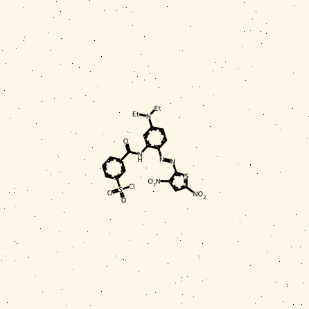 CCN(CC)c1ccc(/N=N/c2sc([N+](=O)[O-])cc2[N+](=O)[O-])c(NC(=O)c2cccc(S(=O)(=O)Cl)c2)c1